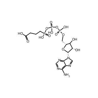 Nc1ncnc2c1ncn2[C@@H]1O[C@H](COP(=O)(O)OP(=O)(O)OP(=O)(O)CCCC(=O)O)C(O)[C@@H]1O